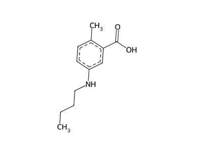 CCCCNc1ccc(C)c(C(=O)O)c1